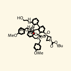 COc1ccc(CN(Cc2ccc(OC)cc2)S(=O)(=O)c2c(S(=O)(=O)C3CN(C(=O)OC(C)(C)C)C3)ccc(-c3cccc(NCCO)c3N)c2-c2nnn(Cc3ccc(OC)cc3)n2)cc1